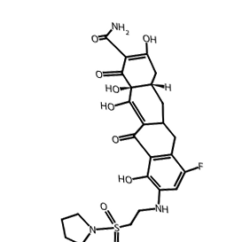 NC(=O)C1=C(O)C[C@@H]2CC3Cc4c(F)cc(NCCS(=O)(=O)N5CCCC5)c(O)c4C(=O)C3=C(O)[C@]2(O)C1=O